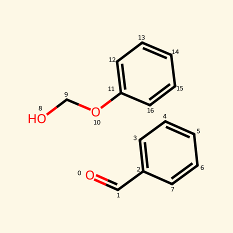 O=Cc1ccccc1.OCOc1ccccc1